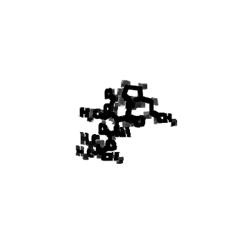 C=CCC(NC(=O)OC(C)(C)C)C(=O)N1C(CC=C)CC[C@H]1C(=O)O